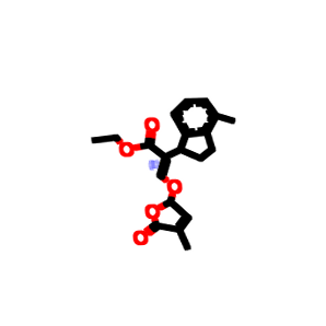 CCOC(=O)/C(=C/OC1C=C(C)C(=O)O1)C1CCc2c(C)cccc21